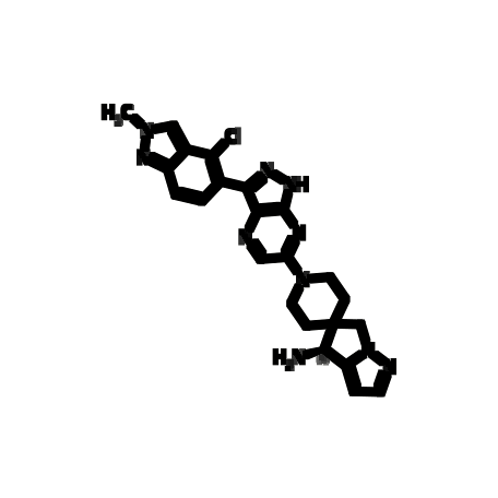 Cn1cc2c(Cl)c(-c3n[nH]c4nc(N5CCC6(CC5)Cn5nccc5[C@H]6N)cnc34)ccc2n1